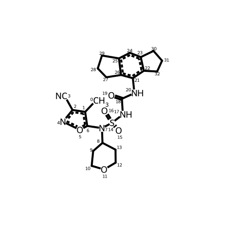 Cc1c(C#N)noc1N(C1CCOCC1)S(=O)(=O)NC(=O)Nc1c2c(cc3c1CCC3)CCC2